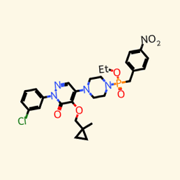 CCOP(=O)(Cc1ccc([N+](=O)[O-])cc1)N1CCN(c2cnn(-c3cccc(Cl)c3)c(=O)c2OCC2(C)CC2)CC1